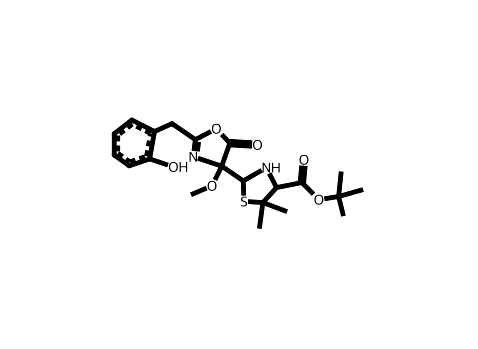 COC1(C2NC(C(=O)OC(C)(C)C)C(C)(C)S2)N=C(Cc2ccccc2O)OC1=O